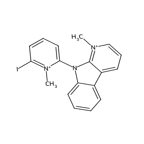 C[n+]1c(I)cccc1-n1c2ccccc2c2ccc[n+](C)c21